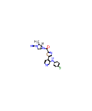 CC1[C@H]2C(CN1C#N)N2C(=O)c1ncc(-c2ccncc2Nc2ccc(F)cc2)s1